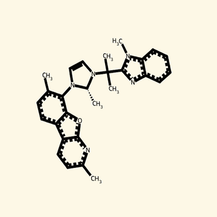 Cc1ccc2c(n1)oc1c(N3C=CN(C(C)(C)c4nc5ccccc5n4C)[C@@H]3C)c(C)ccc12